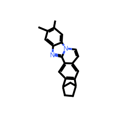 Cc1cc2nc3c4cc5c(cc4ccn3c2cc1C)C1CCC5C1